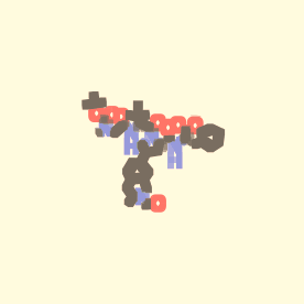 COC(=O)[C@H](Cc1ccccc1)NC(=O)[C@@H]1CC(c2ccc3c(c2)CN(C=O)C(C)C3)CN1C(=O)[C@@H](NC(=O)CN(C)C(=O)OC(C)(C)C)C(C)(C)C